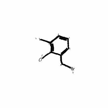 Clc1c(I)cccc1CBr